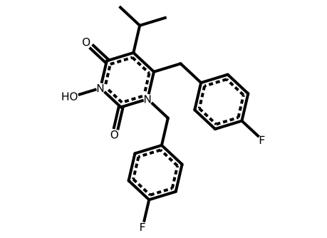 CC(C)c1c(Cc2ccc(F)cc2)n(Cc2ccc(F)cc2)c(=O)n(O)c1=O